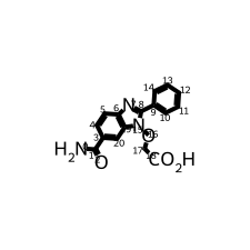 NC(=O)c1ccc2nc(-c3ccccc3)n(OCC(=O)O)c2c1